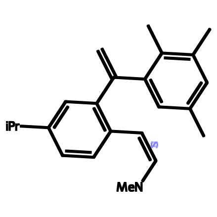 C=C(c1cc(C(C)C)ccc1/C=C\NC)c1cc(C)cc(C)c1C